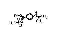 C=C(C)Nc1ccc(B(OCC)OC(C)(C)CC)cc1